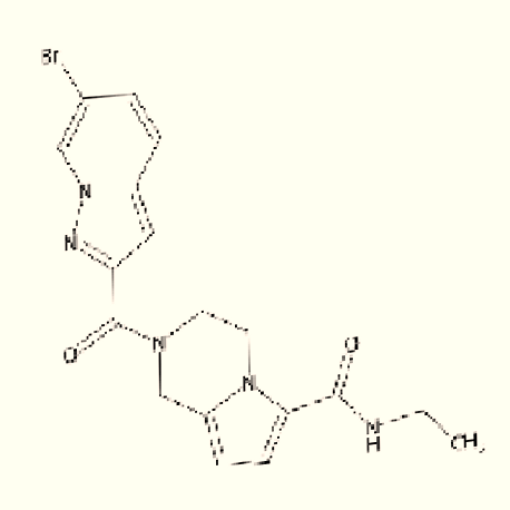 CCNC(=O)c1ccc2n1CCN(C(=O)c1cc3ccc(Br)cn3n1)C2